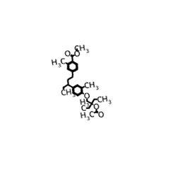 CCC(CCc1ccc(C(=O)OC)c(C)c1)c1ccc(OCC(CC)(CC)OC(C)=O)c(C)c1